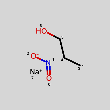 O=N[O-].[CH2]CCO.[Na+]